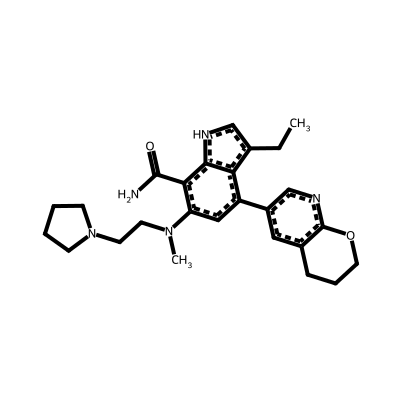 CCc1c[nH]c2c(C(N)=O)c(N(C)CCN3CCCC3)cc(-c3cnc4c(c3)CCCO4)c12